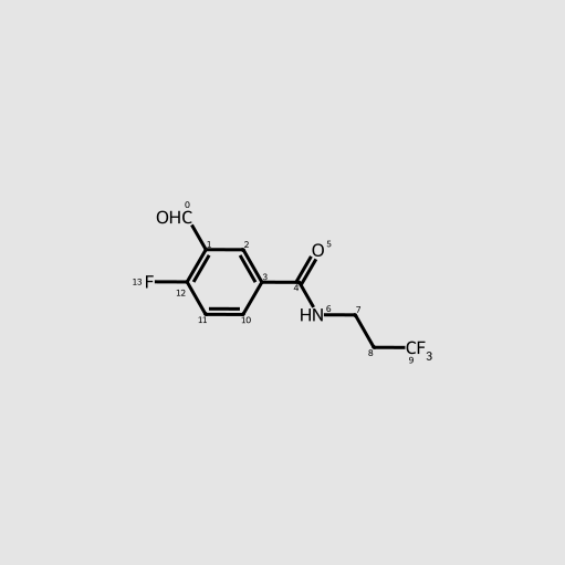 O=Cc1cc(C(=O)NCCC(F)(F)F)ccc1F